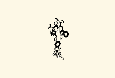 CCOC(=O)C(Cc1c[nH]c2ccccc12)NC(=O)[C@H](C(C)C)n1cc(COc2ccc3nc(S(N)(=O)=O)sc3c2)nn1